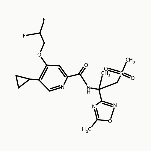 Cc1nc(C(C)(CS(C)(=O)=O)NC(=O)c2cc(OCC(F)F)c(C3CC3)cn2)no1